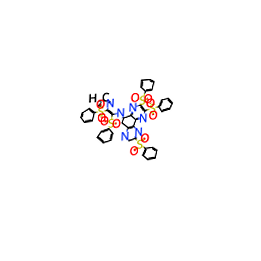 C=N/C(=C(\N=C1/Cc2ncc(S(=O)(=O)c3ccccc3)nc2-c2nc(S(=O)(=O)c3ccccc3)c(S(=O)(=O)c3ccccc3)nc21)S(=O)(=O)c1ccccc1)S(=O)(=O)c1ccccc1